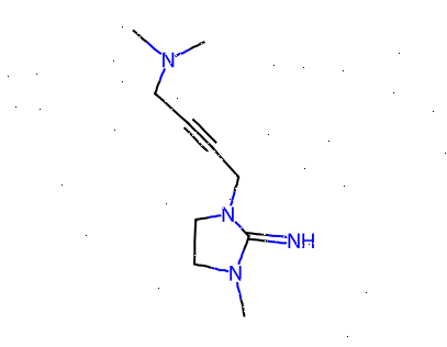 CN(C)CC#CCN1CCN(C)C1=N